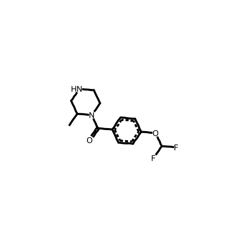 CC1CNCCN1C(=O)c1ccc(OC(F)F)cc1